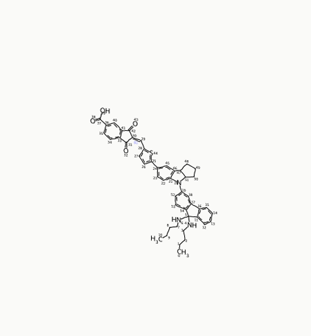 CCCCNC1(NCCCC)c2ccccc2-c2cc(N3c4ccc(-c5ccc(/C=C6\C(=O)c7ccc(C(=O)O)cc7C6=O)s5)cc4C4CCCC43)ccc21